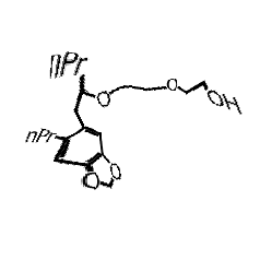 CCCc1cc2c(cc1CC(CCC)OCCOCCO)OCO2